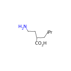 CC(C)CC(CCN)C(=O)O